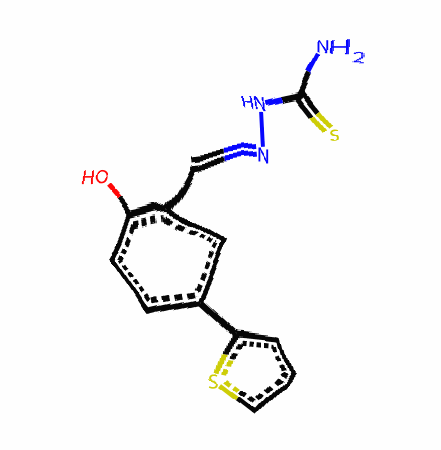 NC(=S)NN=Cc1cc(-c2cccs2)ccc1O